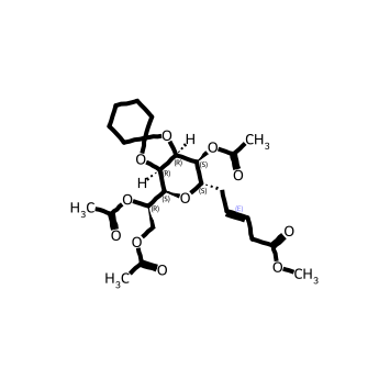 COC(=O)C/C=C/C[C@@H]1O[C@@H]([C@@H](COC(C)=O)OC(C)=O)[C@H]2OC3(CCCCC3)O[C@H]2[C@H]1OC(C)=O